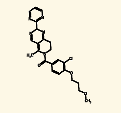 COCCCOc1ccc(C(=O)N2CCC3=NC(c4ncccn4)N=CC3=C2C)cc1Cl